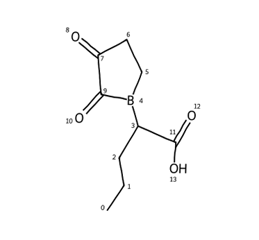 CCCC(B1CCC(=O)C1=O)C(=O)O